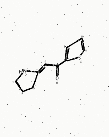 O=C(C=C1CCCN1)c1cccs1